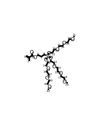 C=C(C)C(=O)OCCC[Si](OCCOCCOCCOC)(OCCOCCOCCOC)OCCOCCOCCOC